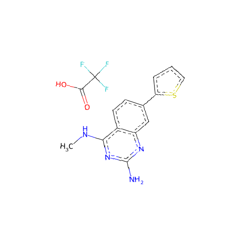 CNc1nc(N)nc2cc(-c3cccs3)ccc12.O=C(O)C(F)(F)F